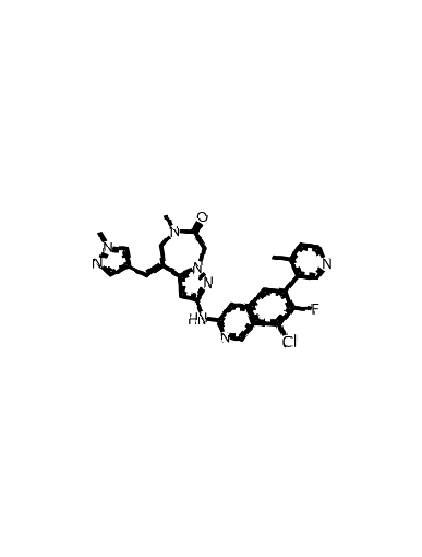 Cc1ccncc1-c1cc2cc(Nc3cc4n(n3)CC(=O)N(C)C/C4=C\c3cnn(C)c3)ncc2c(Cl)c1F